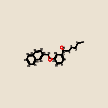 CCCCCC(=O)c1cccc(OCc2ccc3ccccc3c2)c1